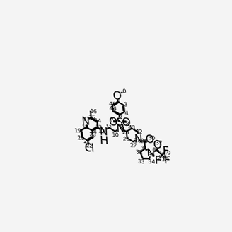 COc1ccc(S(=O)(=O)N(CCNc2cc(C)nc3ccc(Cl)cc23)C2CCN(C(=O)C3CCCN3C(=O)C(F)(F)F)CC2)cc1